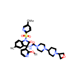 CCOc1ncccc1[C@]1(NC(=O)N2CCN(C3CCN(C4COC4)CC3)CC2)C(=O)N(S(=O)(=O)c2ccc(OC)cn2)c2ccc(C#N)cc21